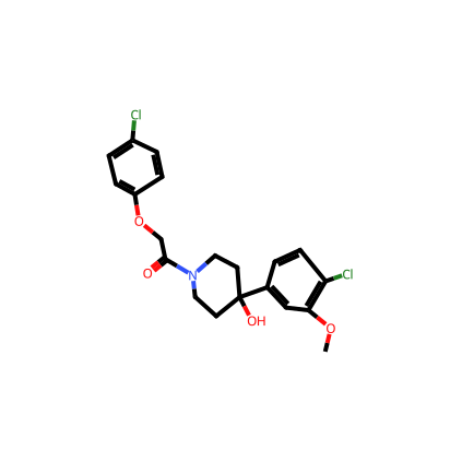 COc1cc(C2(O)CCN(C(=O)COc3ccc(Cl)cc3)CC2)ccc1Cl